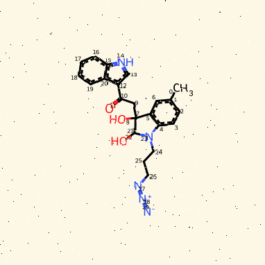 Cc1ccc2c(c1)C(O)(CC(=O)c1c[nH]c3ccccc13)C(O)N2CCCN=[N+]=[N-]